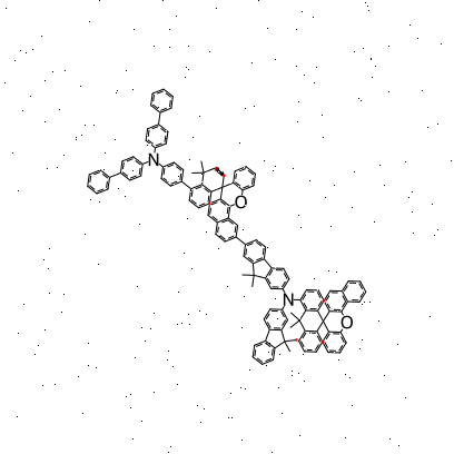 CC1(C)c2ccccc2-c2ccc(N(c3ccc4c(c3)C(C)(C)c3cc(-c5ccc6ccc7c(c6c5)Oc5ccccc5C75c6ccccc6C(C)(C)c6c(-c7ccc(N(c8ccc(-c9ccccc9)cc8)c8ccc(-c9ccccc9)cc8)cc7)cccc65)ccc3-4)c3cccc4c3C(C)(C)c3ccccc3C43c4ccccc4Oc4c3ccc3ccccc43)cc21